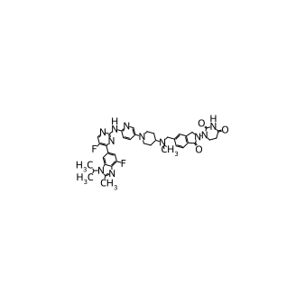 Cc1nc2c(F)cc(-c3nc(Nc4ccc(N5CCC(N(C)Cc6ccc7c(c6)CN(N6CCC(=O)NC6=O)C7=O)CC5)cn4)ncc3F)cc2n1C(C)C